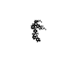 CC(=O)Nc1ccc(-c2c(-c3cnn(C)c3)oc3ncnc(Oc4ccc(NC(=O)c5cccn(-c6ccc(F)cc6)c5=O)cc4)c23)cc1